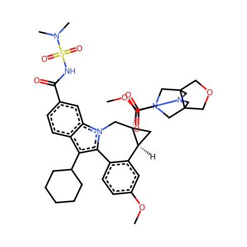 COC(=O)N1CC23COCC2(C1)CN(C(=O)[C@]12C[C@H]1c1cc(OC)ccc1-c1c(C4CCCCC4)c4ccc(C(=O)NS(=O)(=O)N(C)C)cc4n1C2)C3